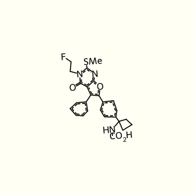 CSc1nc2oc(-c3ccc(C4(NC(=O)O)CCC4)cc3)c(-c3ccccc3)c2c(=O)n1CCF